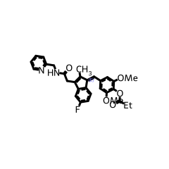 CCC(=O)Oc1c(OC)cc(/C=C2/C(C)=C(CC(=O)NCc3ccccn3)c3cc(F)ccc32)cc1OC